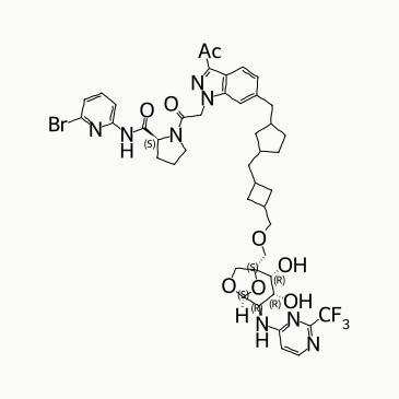 CC(=O)c1nn(CC(=O)N2CCC[C@H]2C(=O)Nc2cccc(Br)n2)c2cc(CC3CCC(CC4CC(COC[C@@]56CO[C@@H](O5)[C@H](Nc5ccnc(C(F)(F)F)n5)[C@@H](O)[C@H]6O)C4)C3)ccc12